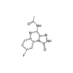 CC(=O)Nc1nc2ccc(F)cc2n2c(=O)[nH]nc12